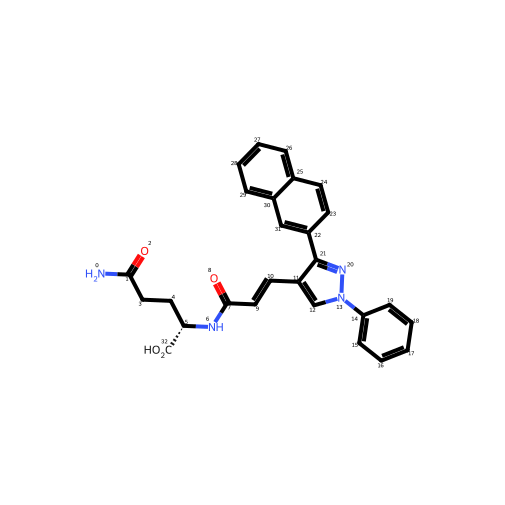 NC(=O)CC[C@H](NC(=O)/C=C/c1cn(-c2ccccc2)nc1-c1ccc2ccccc2c1)C(=O)O